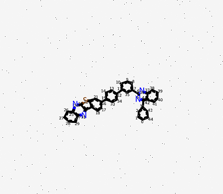 c1ccc(-c2nc(-c3cccc(-c4ccc(-c5ccc6c(c5)sc5nc7ccccc7nc56)cc4)c3)nc3ccccc23)cc1